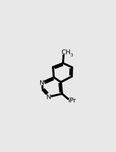 Cc1ccc2c(C(C)C)ncnc2c1